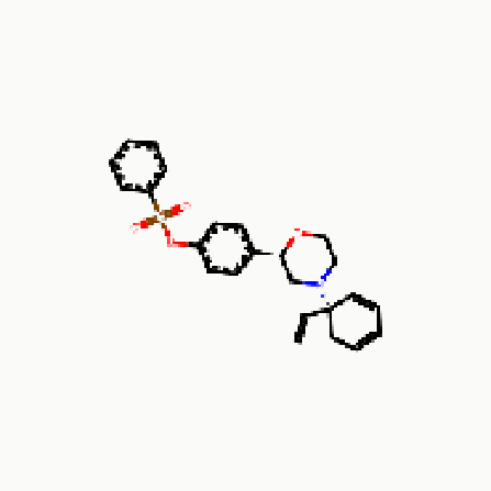 C=C[C@@]1(N2CCO[C@H](c3ccc(OS(=O)(=O)c4ccccc4)cc3)C2)C=CC=CC1